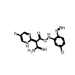 N=Nc1ccc(Cl)cc1NOC(=O)/C(C(=N)N)=C1\N=CC(F)=CN1